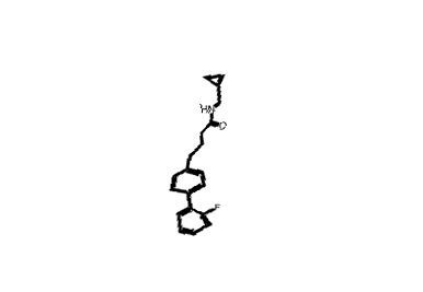 O=C(CCCc1ccc(-c2ccccc2F)cc1)NCC1CC1